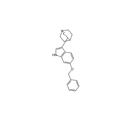 c1ccc(COc2ccc3c(C4CN5CCC4CC5)c[nH]c3c2)cc1